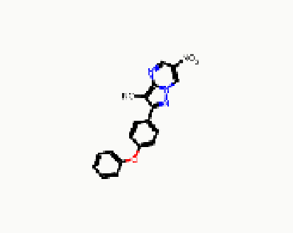 N#Cc1c(-c2ccc(Oc3ccccc3)cc2)nn2cc([N+](=O)[O-])cnc12